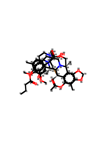 CCCC(=O)Oc1cc2c(cc1OC)[C@@]1(CS[C@@H]3c4c(OC(C)=O)c(C)c5c(c4[C@H](COC1=O)N1C3[C@H]3c4c(cc(C)c(OC)c4O)C[C@H]([C@@H]1O)N3C)OCO5)NCC2